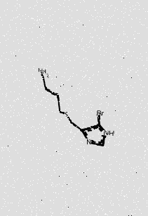 NCCCSCc1nc[nH]c1Br